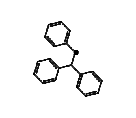 c1ccc([Si]C(c2ccccc2)c2ccccc2)cc1